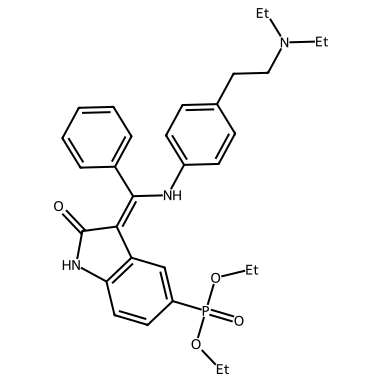 CCOP(=O)(OCC)c1ccc2c(c1)C(=C(Nc1ccc(CCN(CC)CC)cc1)c1ccccc1)C(=O)N2